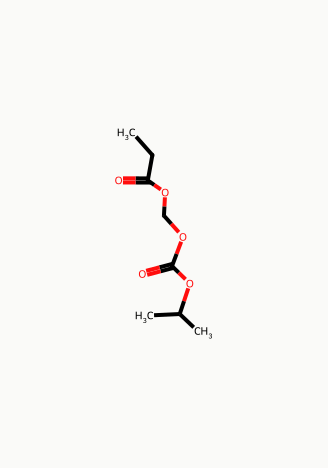 CCC(=O)OCOC(=O)OC(C)C